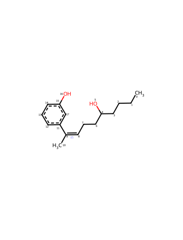 CCCCC(O)CC/C=C(/C)c1cccc(O)c1